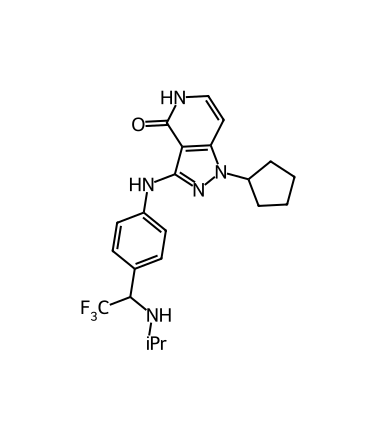 CC(C)NC(c1ccc(Nc2nn(C3CCCC3)c3cc[nH]c(=O)c23)cc1)C(F)(F)F